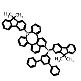 CC1(C)c2ccccc2-c2cc(N3c4ccccc4-c4cccc5c(N(c6cc(-c7ccccc7)cc(-c7ccccc7)c6)c6ccc7c(c6)C(C)(C)c6ccccc6-7)ccc(c45)-c4ccccc43)ccc21